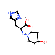 O=C(O)[C@H](Cc1c[nH]cn1)NN1CCC(O)CC1